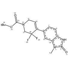 Cn1c(=O)[nH]c2ccc(C3=CCN(C(=O)OC(C)(C)C)CC3(F)F)cc21